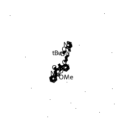 COCn1c(C(=O)c2oc3cccc(OCCCN(Cc4cccnc4)C(=O)OC(C)(C)C)c3c2C)nc2ccccc21